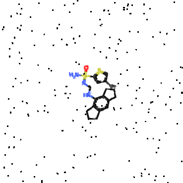 CC(C)c1csc(S(N)(=O)=NCNc2c3c(cc4c2CCC4)CCC3)c1